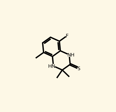 Cc1ccc(F)c2c1NC(C)(C)C(=S)N2